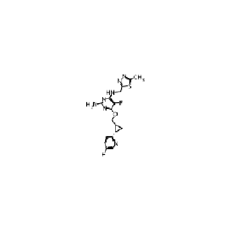 Cc1nnc(CNc2nc(N)nc(OC[C@H]3C[C@@H]3c3ccc(F)cn3)c2F)s1